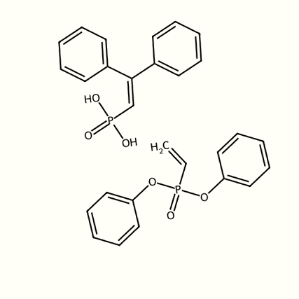 C=CP(=O)(Oc1ccccc1)Oc1ccccc1.O=P(O)(O)C=C(c1ccccc1)c1ccccc1